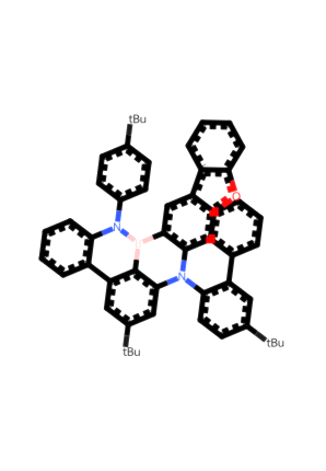 CC(C)(C)c1ccc(N2B3c4cc5c(cc4N(c4ccc(C(C)(C)C)cc4-c4ccccc4)c4cc(C(C)(C)C)cc(c43)-c3ccccc32)oc2ccccc25)cc1